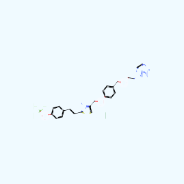 Cl.FC(F)(F)Oc1ccc(/C=C/c2nc(COc3ccc(COCCn4ccnn4)cc3)cs2)cc1